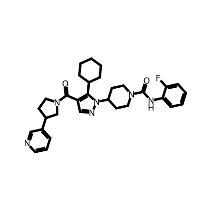 O=C(Nc1ccccc1F)N1CCC(n2ncc(C(=O)N3CCC(c4cccnc4)C3)c2C2CCCCC2)CC1